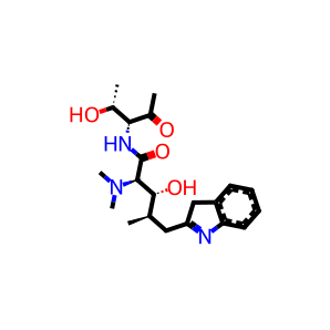 CC(=O)[C@H](NC(=O)[C@@H]([C@H](O)[C@H](C)CC1=Nc2ccccc2C1)N(C)C)[C@@H](C)O